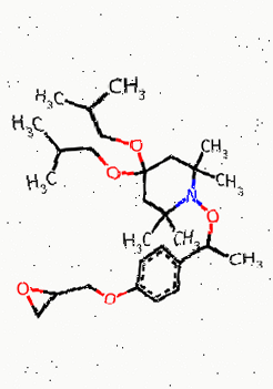 CC(C)COC1(OCC(C)C)CC(C)(C)N(OC(C)c2ccc(OCC3CO3)cc2)C(C)(C)C1